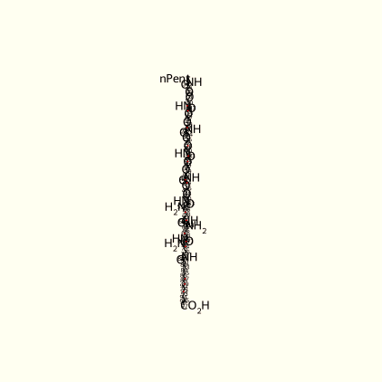 CCCCCNC(=O)CCOCOCCNC(=O)COCCOCCNC(=O)COCCOCCNC(=O)COCCOCCNC(=O)COCCOCCNC(=O)[C@@H](N)CCCCNC(=O)[C@@H](N)CCCCNC(=O)[C@@H](N)CCCCNC(=O)CCCCCCCCCCCCCCCCC(=O)O